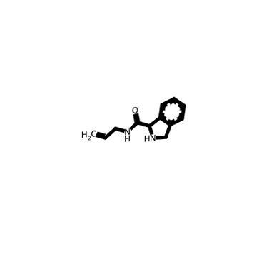 C=CCNC(=O)C1NCc2ccccc21